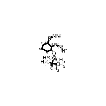 CC(C)(C)[Si](C)(C)O[C@H]1CCCC(N=[N+]=[N-])C1N=[N+]=[N-]